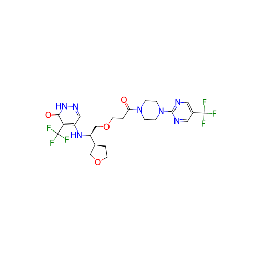 O=C(CCOC[C@H](Nc1cn[nH]c(=O)c1C(F)(F)F)[C@H]1CCOC1)N1CCN(c2ncc(C(F)(F)F)cn2)CC1